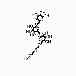 CCCOCCOCCOCC1O[C@H](OCC2O[C@H](OCC3O[C@H](O)C(O)[C@@H](O)[C@@H]3O)C(O)[C@@H](O)[C@@H]2O)C(O)[C@@H](O)[C@@H]1O